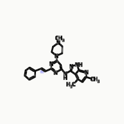 Cc1cc(C)c2c(Nc3cc(N4CCN(C)CC4)nc(/C=C/c4ccccc4)n3)n[nH]c2n1